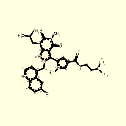 CC(C)Cn1c(=O)n(C)c(=O)c2c(-c3cc(C(=O)NCCN(C)C)cn3C)n(Cc3ccnc4ccc(Cl)cc34)nc21